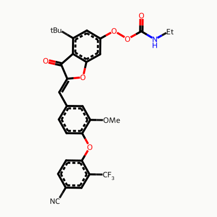 CCNC(=O)OOc1cc2c(c(C(C)(C)C)c1)C(=O)C(=Cc1ccc(Oc3ccc(C#N)cc3C(F)(F)F)c(OC)c1)O2